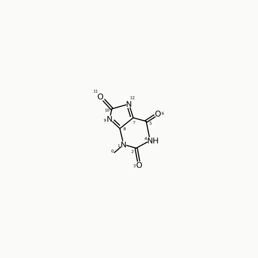 Cn1c(=O)[nH]c(=O)c2c1=NC(=O)N=2